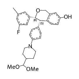 COC(OC)C1CCN(c2ccc([C@H]3c4ccc(O)cc4CO[C@H]3c3cc(C)cc(F)c3)cc2)CC1